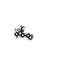 Cc1cccc(-c2[nH]c(C(C)C)nc2-c2cccc(-c3ccc4c(c3)CCCS4)c2)n1